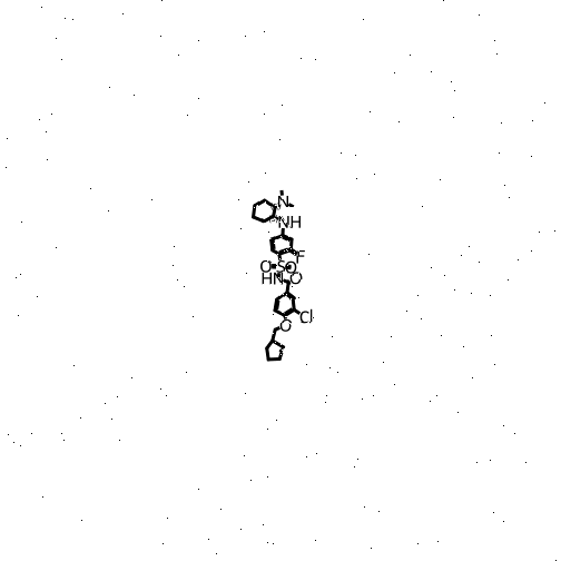 CN(C)[C@H]1CCCC[C@@H]1Nc1ccc(S(=O)(=O)NC(=O)c2ccc(OCC3CCCC3)c(Cl)c2)c(F)c1